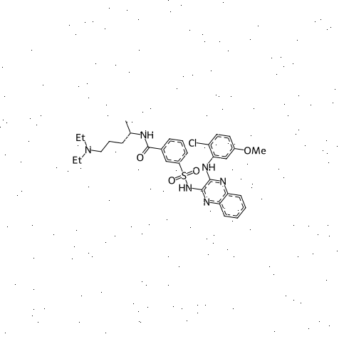 CCN(CC)CCCC(C)NC(=O)c1cccc(S(=O)(=O)Nc2nc3ccccc3nc2Nc2cc(OC)ccc2Cl)c1